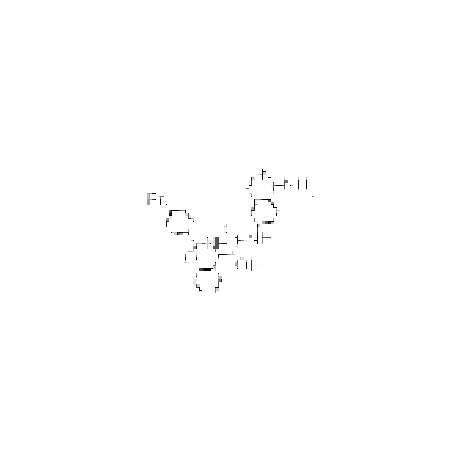 CC(C)c1ccc(C(=O)NC(c2ccccc2)C(O)C(=O)Nc2ccc3c(N)nccc3c2)cc1